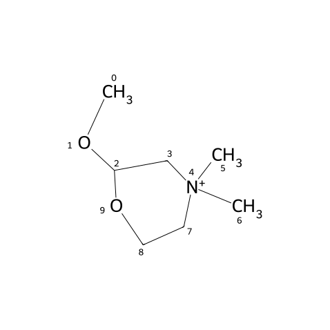 COC1C[N+](C)(C)CCO1